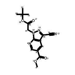 COC(=O)c1cnc2c(c1)c(C#N)nn2CC(=O)OC(C)(C)C